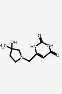 CC1(O)CCN(Cc2cc(=O)[nH]c(=O)[nH]2)C1